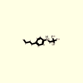 CCCCc1ccc(NCC(F)(F)F)cc1